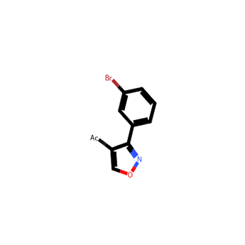 CC(=O)c1conc1-c1cccc(Br)c1